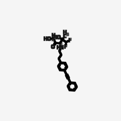 C[C@@](O)(C(F)F)[C@H](NCCCc1ccc(C#Cc2ccccc2)cc1)C(=O)NO